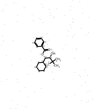 CC(C)(C)[C@H](O)[C@@H](OC(=O)c1ccccc1)C1CCCCC1